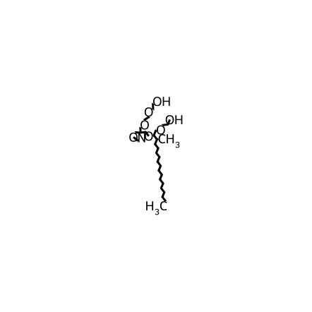 CCCCCCCCCCCCCCCC(C)C(COCCO)OCC1(COCCOCCO)COC=N1